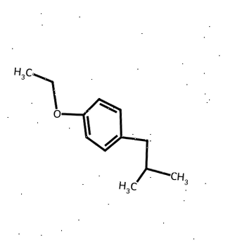 CCOc1ccc([CH]C(C)C)cc1